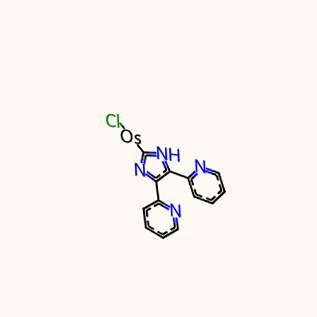 [Cl][Os][c]1nc(-c2ccccn2)c(-c2ccccn2)[nH]1